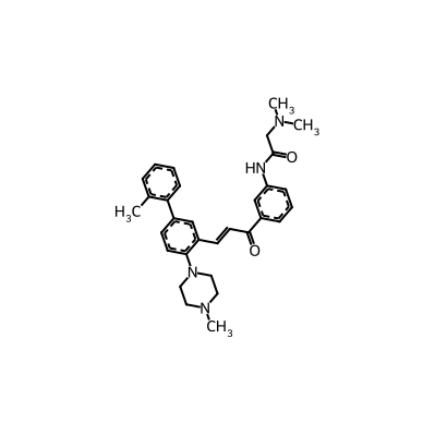 Cc1ccccc1-c1ccc(N2CCN(C)CC2)c(/C=C/C(=O)c2cccc(NC(=O)CN(C)C)c2)c1